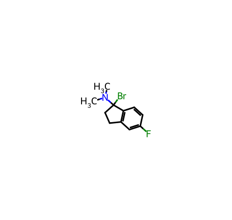 CN(C)C1(Br)CCc2cc(F)ccc21